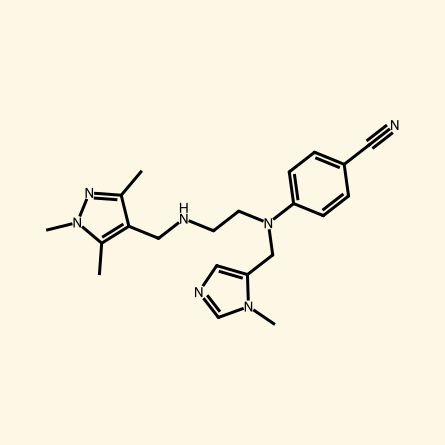 Cc1nn(C)c(C)c1CNCCN(Cc1cncn1C)c1ccc(C#N)cc1